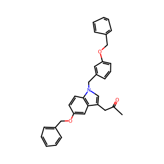 CC(=O)Cc1cn(Cc2cccc(OCc3ccccc3)c2)c2ccc(OCc3ccccc3)cc12